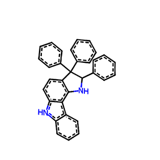 c1ccc(C2Nc3c(ccc4[nH]c5ccccc5c34)C2(c2ccccc2)c2ccccc2)cc1